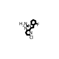 Nc1nc2ccc(Cl)nc2c2cc3c(F)cccc3n12